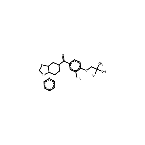 Cc1cc(C(=O)N2CC[C@@]3(c4ccccc4)OCOC3C2)ccc1OCC(C)(C)O